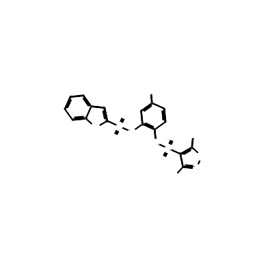 Cc1noc(C)c1S(=O)(=O)Nc1ccc(Cl)cc1NS(=O)(=O)c1cc2ccccc2o1